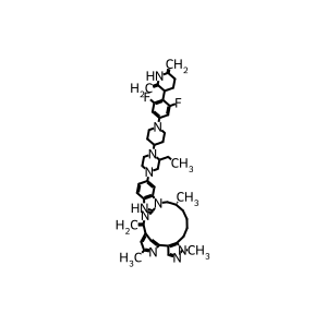 C=C1CCC(c2c(F)cc(N3CCC(N4CCN(c5ccc6c(c5)N5C[C@H](C)CCCCc7c(cnn7C)-c7cc(cc(C)n7)C(=C)/N=C/5N6)CC4CC)CC3)cc2F)C(=C)N1